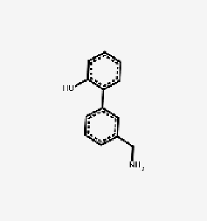 NCc1cccc(-c2cc[c]cc2O)c1